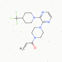 C=CC(=O)N1CCN(c2nccnc2N2CCC(C(F)(F)F)CC2)CC1